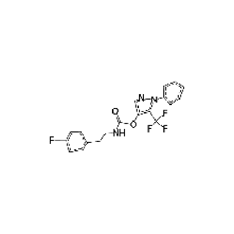 O=C(NCCc1ccc(F)cc1)Oc1cnn(-c2ccccc2)c1C(F)(F)F